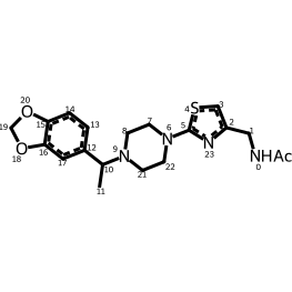 CC(=O)NCc1csc(N2CCN(C(C)c3ccc4c(c3)OCO4)CC2)n1